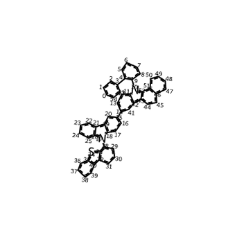 c1ccc(-c2ccccc2-n2c3ccc(-c4ccc5c(c4)c4ccccc4n5-c4cccc5c4sc4ccccc45)cc3c3ccc4ccccc4c32)cc1